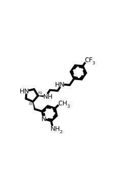 Cc1cc(N)nc(C[C@H]2CNC[C@H]2NCCNCc2ccc(C(F)(F)F)cc2)c1